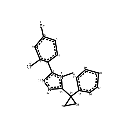 Cn1c(-c2ccc(Br)cc2Cl)nnc1C1(c2ccccc2)CC1